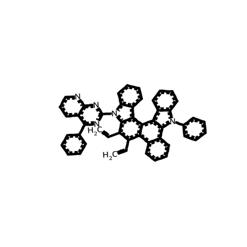 C=Cc1c(C=C)c2c(c3ccccc3n2-c2nc(-c3ccccc3)c3cccnc3n2)c2c1c1ccccc1c1c2c2ccccc2n1-c1ccccc1